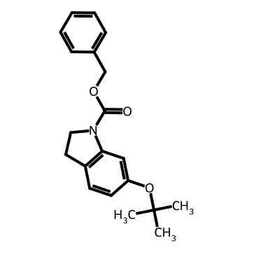 CC(C)(C)Oc1ccc2c(c1)N(C(=O)OCc1ccccc1)CC2